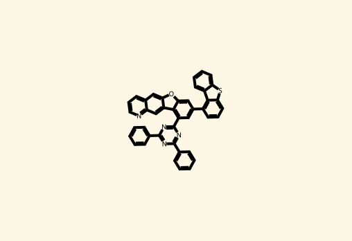 c1ccc(-c2nc(-c3ccccc3)nc(-c3cc(-c4cccc5sc6ccccc6c45)cc4oc5cc6cccnc6cc5c34)n2)cc1